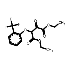 CCOC(=O)C(=O)C(Oc1ccccc1C(F)(F)F)C(=O)OCC